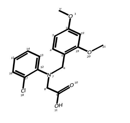 COc1ccc(CN(CC(=O)O)c2ccccc2Cl)c(OC)c1